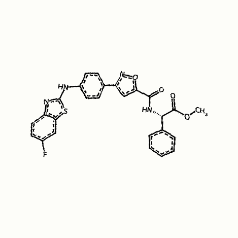 COC(=O)[C@@H](NC(=O)c1cc(-c2ccc(Nc3nc4ccc(F)cc4s3)cc2)no1)c1ccccc1